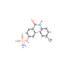 CN(C(=O)c1ccc(OS(N)(=O)=O)cc1)c1ccc(C#N)cc1